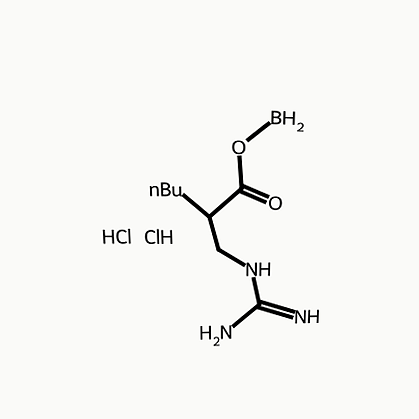 BOC(=O)C(CCCC)CNC(=N)N.Cl.Cl